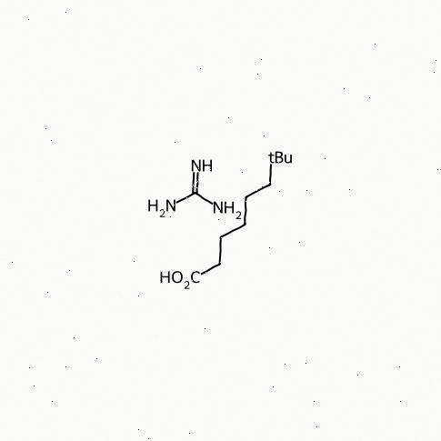 CC(C)(C)CCCCCC(=O)O.N=C(N)N